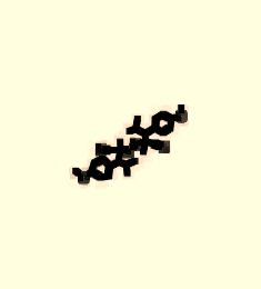 COc1ccc(C(C(C)C)C(C)(C#N)N=NC(C)(C#N)C(c2ccc(OC)cc2)C(C)C)cc1